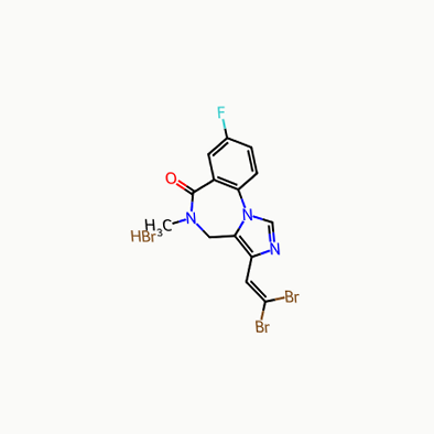 Br.CN1Cc2c(C=C(Br)Br)ncn2-c2ccc(F)cc2C1=O